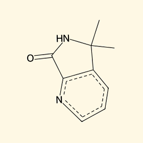 CC1(C)NC(=O)c2ncccc21